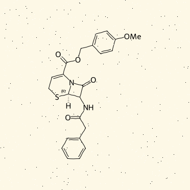 COc1ccc(COC(=O)C2=CCS[C@@H]3C(NC(=O)Cc4ccccc4)C(=O)N23)cc1